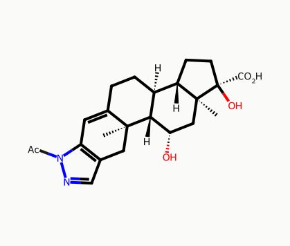 CC(=O)n1ncc2c1C=C1CC[C@@H]3[C@H]([C@@H](O)C[C@@]4(C)[C@H]3CC[C@]4(O)C(=O)O)[C@@]1(C)C2